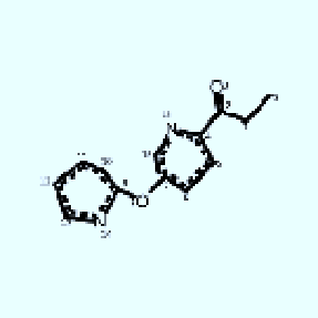 CCC(=O)c1ccc(Oc2ccccn2)cn1